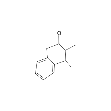 CC1C(=O)Cc2ccccc2C1C